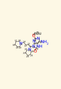 CCCCOc1nc(N)c2[nH]c(=O)n(C(CCCN3CCCCC3)N3CCCCC3)c2n1